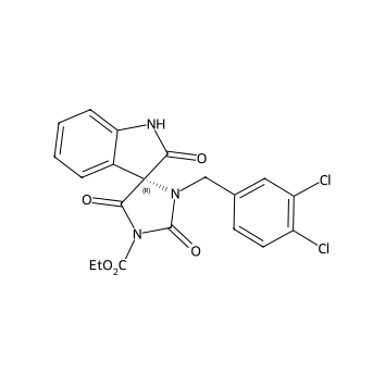 CCOC(=O)N1C(=O)N(Cc2ccc(Cl)c(Cl)c2)[C@]2(C(=O)Nc3ccccc32)C1=O